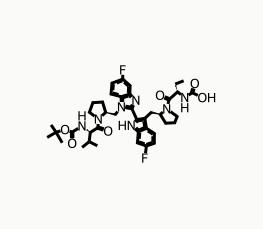 CC[C@H](NC(=O)O)C(=O)N1CCC[C@H]1Cc1c(-c2nc3cc(F)ccc3n2C[C@@H]2CCCN2C(=O)[C@@H](NC(=O)OC(C)(C)C)C(C)C)[nH]c2cc(F)ccc12